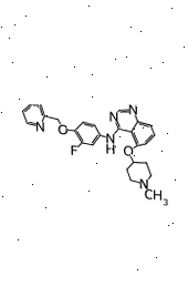 CN1CCC(Oc2cccc3ncnc(Nc4ccc(OCc5ccccn5)c(F)c4)c23)CC1